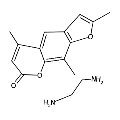 Cc1cc2cc3c(C)cc(=O)oc3c(C)c2o1.NCCN